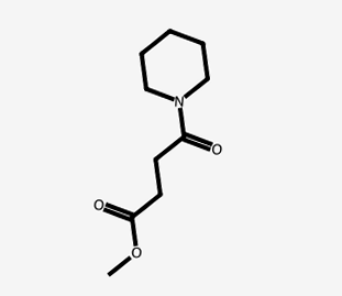 COC(=O)CCC(=O)N1CCCCC1